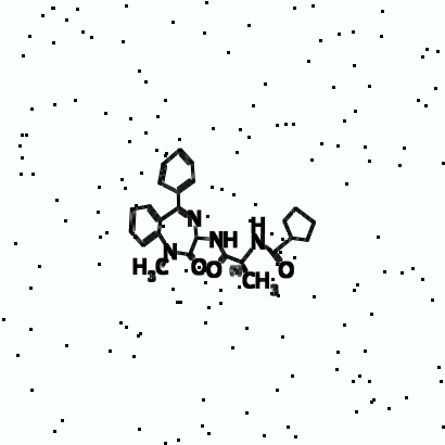 C[C@H](NC(=O)C1CCCC1)C(=O)NC1N=C(c2ccccc2)c2ccccc2N(C)C1=O